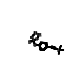 CCOP(=O)(OCC)Oc1ccc(C#C[Si](C)(C)C)cc1